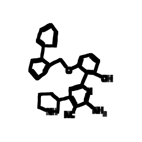 N#Cc1c(C2CCCNC2)cc(-c2c(O)cccc2OCc2ccccc2-c2ccccc2)nc1N